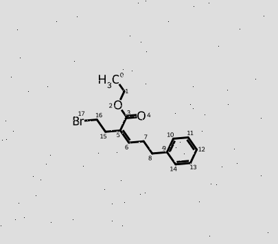 CCOC(=O)C(=CCCc1ccccc1)CCBr